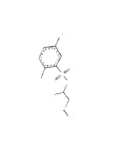 Cc1ccc(O)cc1S(=O)(=O)OC(O)CCO